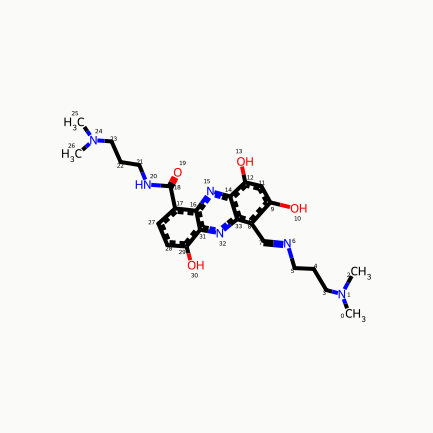 CN(C)CCC/N=C/c1c(O)cc(O)c2nc3c(C(=O)NCCCN(C)C)ccc(O)c3nc12